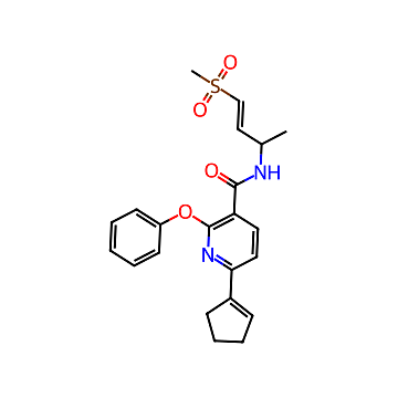 CC(C=CS(C)(=O)=O)NC(=O)c1ccc(C2=CCCC2)nc1Oc1ccccc1